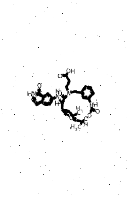 Cc1cc2ccc1[C@@H](C)COC(=O)Nc1cccc(c1)CN(CCC(=O)O)C(=O)[C@@H]2Nc1ccc2cc[nH]c(=O)c2c1